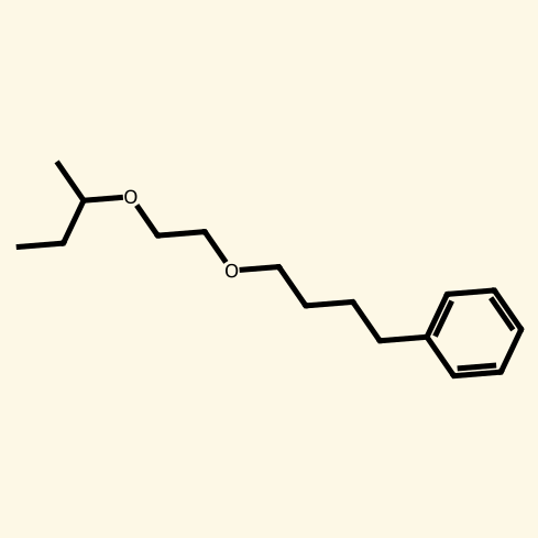 CCC(C)OCCOCCCCc1ccccc1